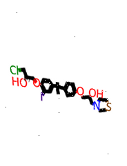 CC(C)(c1ccc(OCC(O)CN2CCSCC2)cc1)c1ccc(OC[C@@H](O)CCl)c(I)c1